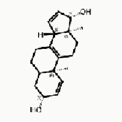 C[C@]12CCC3=C(CCC4C[C@@H](O)C=C[C@]34C)[C@@H]1C=C[C@@H]2O